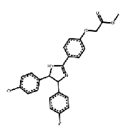 COC(=O)COc1ccc(C2=NC(c3ccc(Cl)cc3)C(c3ccc(Cl)cc3)N2)cc1